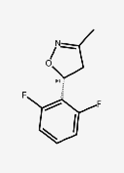 CC1=NO[C@@H](c2c(F)cccc2F)C1